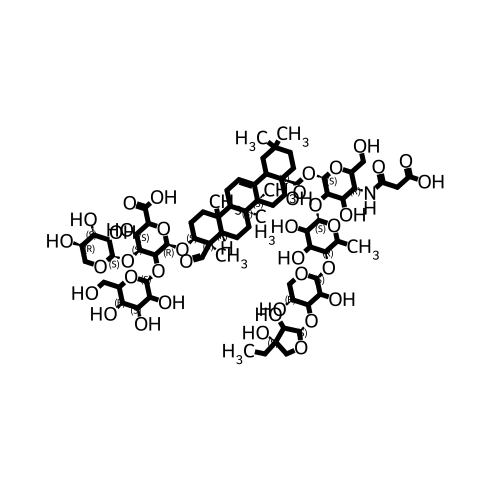 CC[C@]1(O)CO[C@@H](OC2C(O)[C@H](O[C@H]3C(C)O[C@@H](OC4C(O)[C@@H](NC(=O)CC(=O)O)C(CO)O[C@H]4OC(=O)[C@]45CCC(C)(C)CC4C4=CCC6C7(C)CC[C@H](O[C@@H]8OC(C(=O)O)[C@@H](O)[C@H](O[C@@H]9OC[C@@H](O)[C@H](O)C9O)C8O[C@@H]8OC(CO)[C@H](O)[C@H](O)C8O)[C@](C)(C=O)[C@@H]7CC[C@]6(C)[C@]4(C)CC5O)C(O)C3O)OC[C@H]2O)C1O